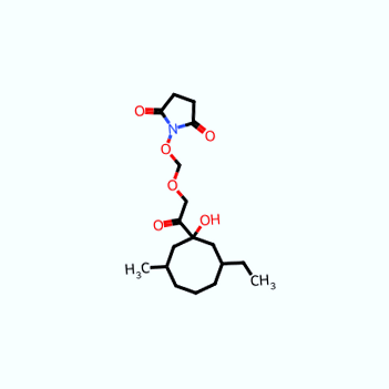 CCC1CCCC(C)CC(O)(C(=O)COCON2C(=O)CCC2=O)C1